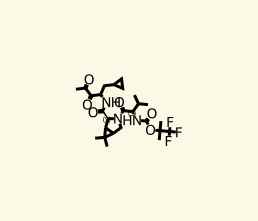 CC(=O)C(=O)C(CC1CC1)NC(=O)[C@@H]1C2C(CN1C(=O)[C@@H](NC(=O)OC(C)(C)C(F)(F)F)C(C)C)C2(C)C